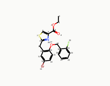 CCOC(=O)c1csc(Cc2cc(Br)ccc2OCc2ccccc2F)n1